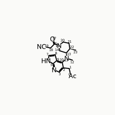 CC(=O)Cc1cnc2[nH]ccc2c1N(C)[C@H]1CN(C(=O)CC#N)CC[C@H]1C